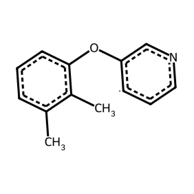 Cc1cccc(Oc2[c]ccnc2)c1C